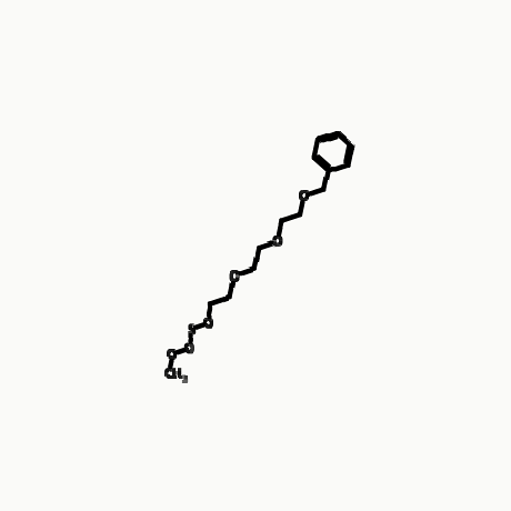 COOSOCCOCCOCCOCc1ccccc1